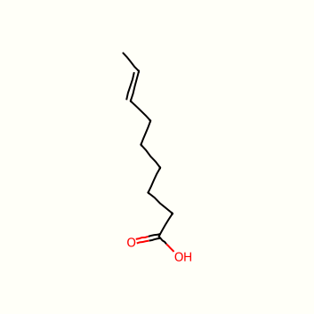 C/C=C/CCCCCC(=O)O